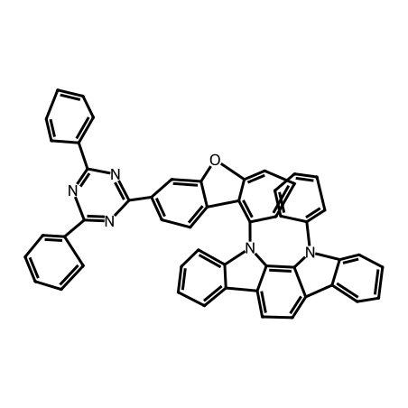 c1ccc(-c2nc(-c3ccccc3)nc(-c3ccc4c(c3)oc3cccc(-n5c6ccccc6c6ccc7c8ccccc8n(-c8ccccc8)c7c65)c34)n2)cc1